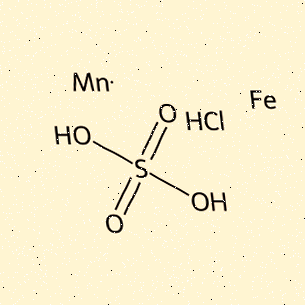 Cl.O=S(=O)(O)O.[Fe].[Mn]